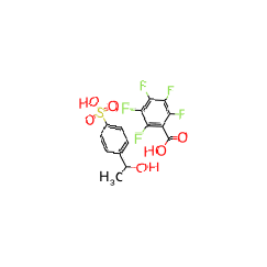 CC(O)c1ccc(S(=O)(=O)O)cc1.O=C(O)c1c(F)c(F)c(F)c(F)c1F